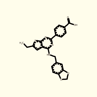 CCc1cc2c(NCc3ccc4c(c3)OCO4)nc(-c3ccc(C(=O)O)cc3)nc2s1